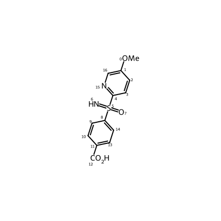 COc1ccc(S(=N)(=O)c2ccc(C(=O)O)cc2)nc1